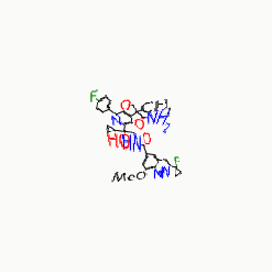 COc1cc(C(=O)NCC(O)(c2cc3c(c(-c4ccc(F)cc4)n2)OC[C@]3(C)C(N)=O)C2CC2)cc2cc(C3(F)CC3)nnc12